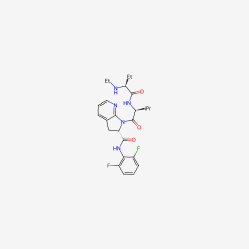 CCN[C@@H](CC)C(=O)N[C@H](C(=O)N1c2ncccc2C[C@H]1C(=O)Nc1c(F)cccc1F)C(C)C